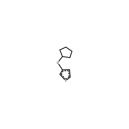 c1cc(OC2CCCC2)cs1